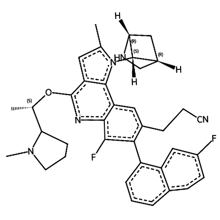 Cc1cc2c(O[C@@H](C)C3CCCN3C)nc3c(F)c(-c4cccc5ccc(F)cc45)c(CCC#N)cc3c2n1[C@H]1[C@H]2CN[C@@H]1C2